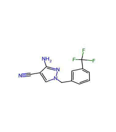 N#Cc1cn(Cc2cccc(C(F)(F)F)c2)nc1N